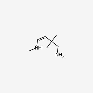 CN/C=C\C(C)(C)CN